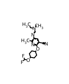 CCN(C)C=Nc1cc(C#N)c(OC2CCC(OC(F)F)CC2)nc1C